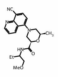 CCC(COC)NC(=O)[C@H]1CN(c2ccc(C#N)c3ncccc23)C[C@@H](C)O1